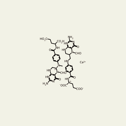 CN(c1ccc(C(=O)NC(CCC(=O)O)C(=O)O)cc1)[C@@H]1CNc2[nH]c(N)nc(=O)c2N1C=O.Nc1nc(=O)c2c([nH]1)NCC(CNc1ccc(C(=O)N[C@@H](CCC(=O)[O-])C(=O)[O-])cc1)N2C=O.[Ca+2]